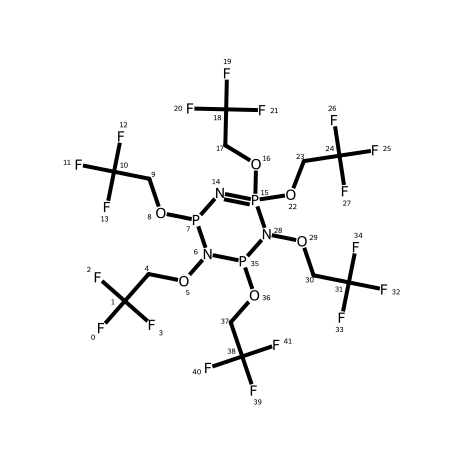 FC(F)(F)CON1P(OCC(F)(F)F)N=P(OCC(F)(F)F)(OCC(F)(F)F)N(OCC(F)(F)F)P1OCC(F)(F)F